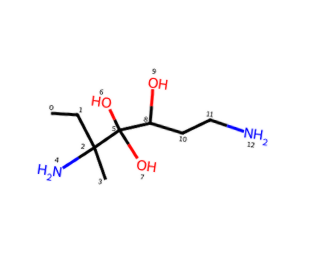 CCC(C)(N)C(O)(O)C(O)CCN